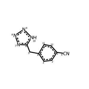 N#Cc1ccc(Cc2nnn[nH]2)cc1